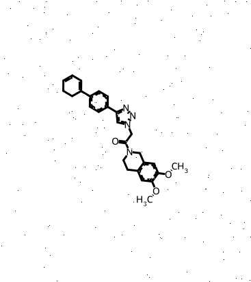 COc1cc2c(cc1OC)CN(C(=O)Cn1cc(-c3ccc(C4=CC=CCC4)cc3)nn1)CC2